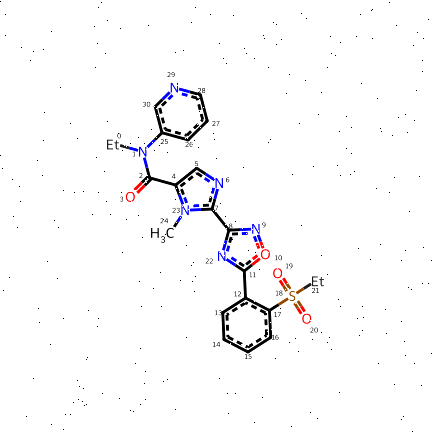 CCN(C(=O)c1cnc(-c2noc(-c3ccccc3S(=O)(=O)CC)n2)n1C)c1cccnc1